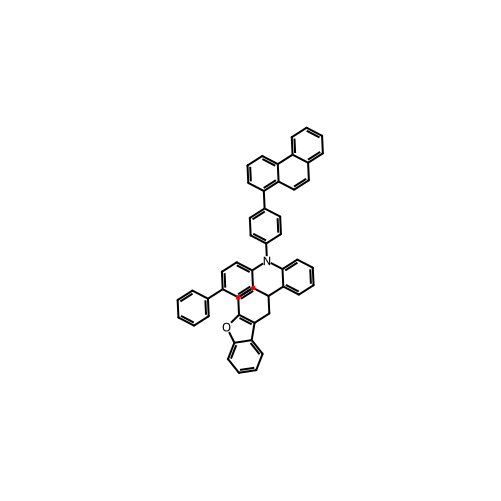 C1=CC(c2ccccc2N(c2ccc(-c3ccccc3)cc2)c2ccc(-c3cccc4c3ccc3ccccc34)cc2)Cc2c1oc1ccccc21